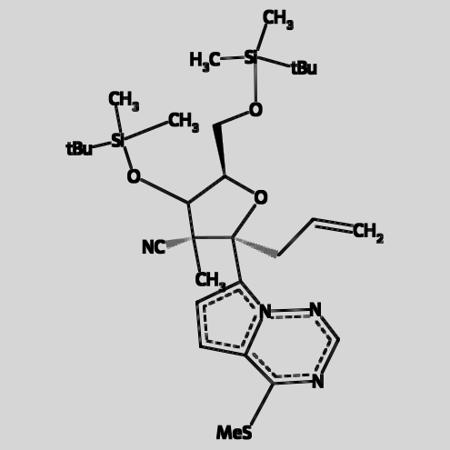 C=CC[C@@]1(c2ccc3c(SC)ncnn23)O[C@H](CO[Si](C)(C)C(C)(C)C)C(O[Si](C)(C)C(C)(C)C)[C@@]1(C)C#N